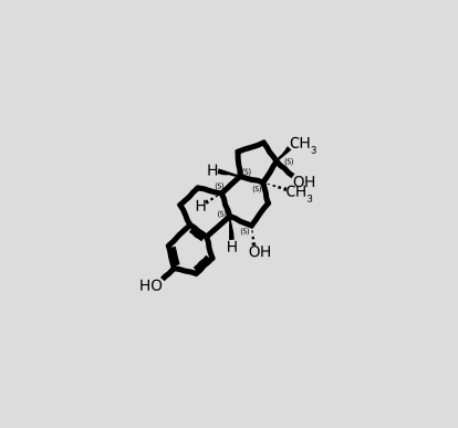 C[C@]1(O)CC[C@H]2[C@@H]3CCc4cc(O)ccc4[C@H]3[C@@H](O)C[C@@]21C